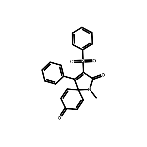 CN1C(=O)C(S(=O)(=O)c2ccccc2)=C(c2ccccc2)C12C=CC(=O)C=C2